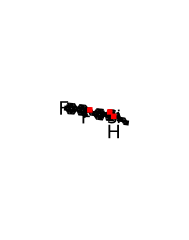 CCCCC[SiH]1CCC(c2ccc(CCc3ccc(-c4ccc(F)cc4)cc3F)cc2)CC1